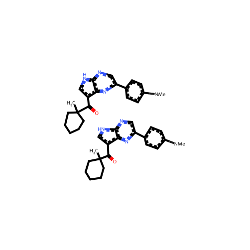 CNc1ccc(-c2cnc3[nH]cc(C(=O)C4(C)CCCCC4)c3n2)cc1.CNc1ccc(-c2cnc3[nH]cc(C(=O)C4(C)CCCCC4)c3n2)cc1